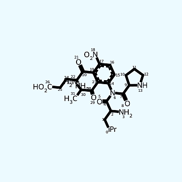 CC(C)CC(N)C(=O)N(C(=O)C1CCCN1)c1ccc([N+](=O)[O-])c(C(=O)C(N)CCC(=O)O)c1C(=O)C(C)N